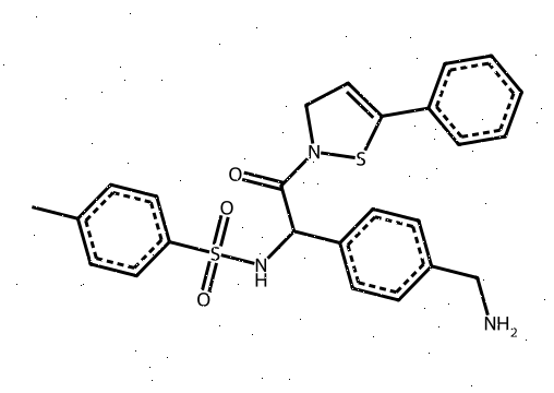 Cc1ccc(S(=O)(=O)NC(C(=O)N2CC=C(c3ccccc3)S2)c2ccc(CN)cc2)cc1